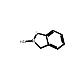 ON1Cc2ccccc2S1